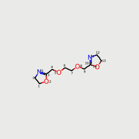 C1COC(COCCOCC2=NCCO2)=N1